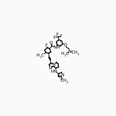 Cc1cc(F)c(C(=O)Nc2cc(OCCN(C)C)cc(C(F)(F)F)c2)cc1C#Cc1cnc2c(Nc3cnn(C)c3)cccn12